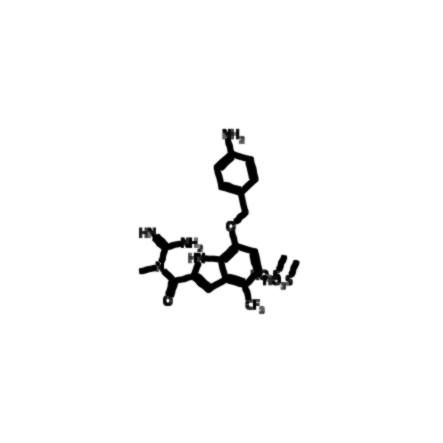 CN(C(=N)N)C(=O)c1cc2c(C(F)(F)F)ccc(OCc3ccc(N)cc3)c2[nH]1.CS(=O)(=O)O.CS(=O)(=O)O